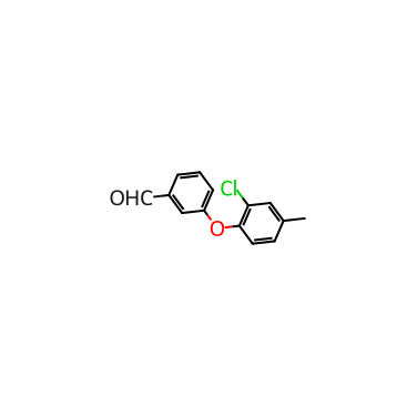 Cc1ccc(Oc2cccc(C=O)c2)c(Cl)c1